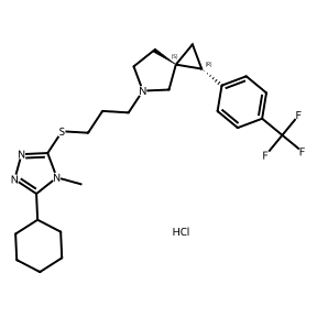 Cl.Cn1c(SCCCN2CC[C@]3(C[C@@H]3c3ccc(C(F)(F)F)cc3)C2)nnc1C1CCCCC1